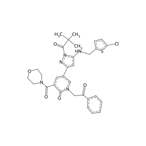 CC(C)(C)C(=O)n1nc(-c2cc(C(=O)N3CCOCC3)c(=O)n(CC(=O)c3ccccc3)c2)cc1NCc1ccc(Cl)s1